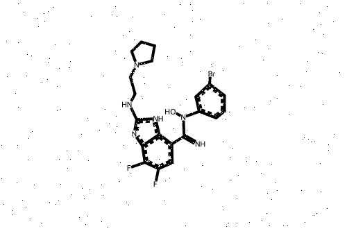 N=C(c1cc(F)c(F)c2nc(NCCN3CCCC3)[nH]c12)N(O)c1cccc(Br)c1